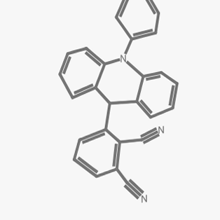 N#Cc1cccc(C2c3ccccc3N(c3ccccc3)c3ccccc32)c1C#N